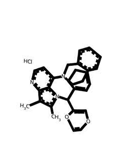 Cc1c(C)n(C(C2=CC=CCC2)C2=COC=CO2)c2c(N3CCc4ccccc4C3)ccnc12.Cl